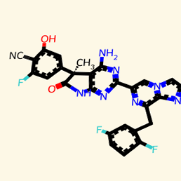 C[C@@]1(c2cc(O)c(C#N)c(F)c2)C(=O)Nc2nc(-c3cn4ccnc4c(Cc4cc(F)ccc4F)n3)nc(N)c21